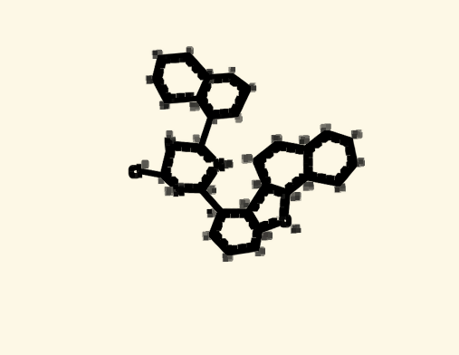 Clc1nc(-c2cccc3ccccc23)nc(-c2cccc3oc4c5ccccc5ccc4c23)n1